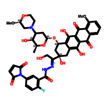 COc1cccc2c1C(=O)c1c(O)c3c(c(O)c1C2=O)C[C@@](O)(/C(CO)=N/NC(=O)c1cc(N2C(=O)C=CC2=O)ccc1F)C[C@@H]3O[C@H]1CC(N2CCO[C@@H](OC)C2)[C@H](O)[C@H](C)O1